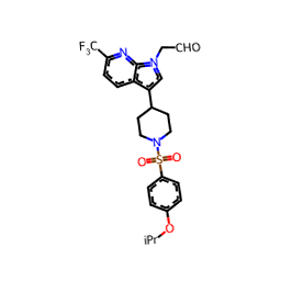 CC(C)Oc1ccc(S(=O)(=O)N2CCC(c3cn(CC=O)c4nc(C(F)(F)F)ccc34)CC2)cc1